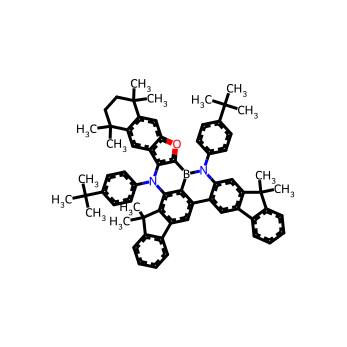 CC(C)(C)c1ccc(N2B3c4oc5cc6c(cc5c4N(c4ccc(C(C)(C)C)cc4)c4c3c(cc3c4C(C)(C)c4ccccc4-3)-c3cc4c(cc32)C(C)(C)c2ccccc2-4)C(C)(C)CCC6(C)C)cc1